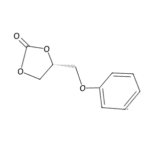 O=C1OC[C@@H](COc2c[c]ccc2)O1